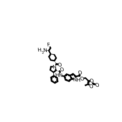 Cc1oc(=O)oc1COC(=O)c1cc2cc(NC(=O)[C@@H]3[C@@H](c4ccccc4)CCN3C(=O)[C@H]3CC[C@H]([C@H](N)CF)CC3)ccc2[nH]1